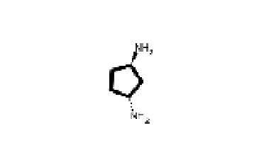 N[C@@H]1CC[C@@H](N)C1